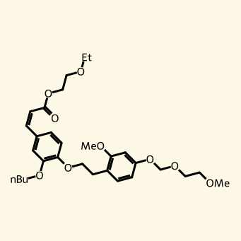 CCCCOc1cc(/C=C\C(=O)OCCOCC)ccc1OCCc1ccc(OCOCCOC)cc1OC